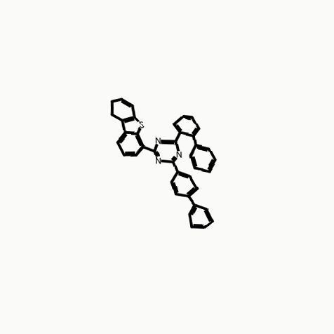 C1=Cc2sc3c(-c4nc(-c5ccc(-c6ccccc6)cc5)nc(-c5ccccc5-c5ccccc5)n4)cccc3c2CC1